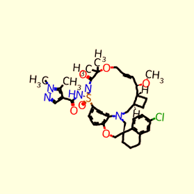 CO[C@@H]1/C=C/COC(C)(C)C(=O)N=[S@@](=O)(NC(=O)c2cnn(C)c2C)c2ccc3c(c2)N(C[C@@H]2CC[C@H]21)C[C@@]1(CCCc2cc(Cl)ccc21)CO3